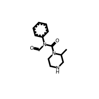 CC1CNCCN1C(=O)N([C]=O)c1ccccc1